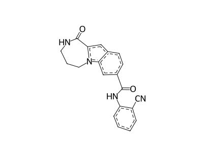 N#Cc1ccccc1NC(=O)c1ccc2cc3n(c2c1)CCCNC3=O